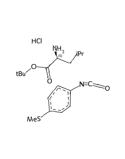 CC(C)C[C@H](N)C(=O)OC(C)(C)C.CSc1ccc(N=C=O)cc1.Cl